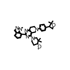 COC1CCN(c2nc(-c3cccc4cnn(C)c34)nc3c2CN(c2ccc(C4COC4(C)C)cc2)CC3)CC1(C)C